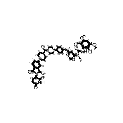 COc1cc(OC)c(Cl)c(NC(=O)N(C)c2cc(Nc3ccc(N4CCN(C(=O)C5CCN(c6ccc7c(c6)C(=O)N(C6CCC(=O)NC6=O)C7=O)CC5)CC4)cc3)ncn2)c1Cl